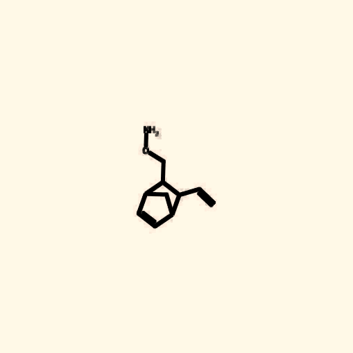 C=CC1C2C=CC(C2)C1CON